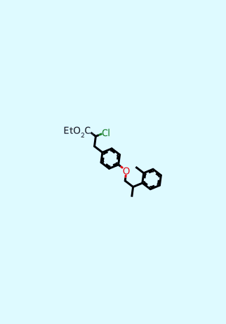 CCOC(=O)C(Cl)Cc1ccc(OCC(C)c2ccccc2C)cc1